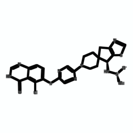 CC(C)(C)[S@+]([O-])N[C@@H]1c2scnc2CC12CCN(c1cnc(Sc3ccc4nc[nH]c(=O)c4c3Cl)cn1)CC2